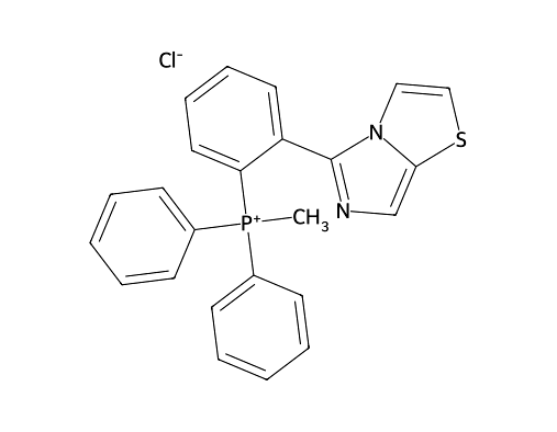 C[P+](c1ccccc1)(c1ccccc1)c1ccccc1-c1ncc2sccn12.[Cl-]